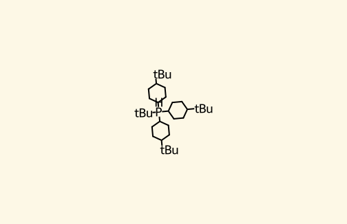 CC(C)(C)C1CCC([PH](C2CCC(C(C)(C)C)CC2)(C2CCC(C(C)(C)C)CC2)C(C)(C)C)CC1